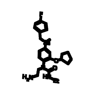 CCNC(=O)N(CCN)c1ccc([As](C)Cc2ccc(F)cc2)cc1OC1CCCC1